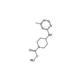 Cc1ccnc(BC2CCN(C(=O)OC(C)(C)C)CC2)c1